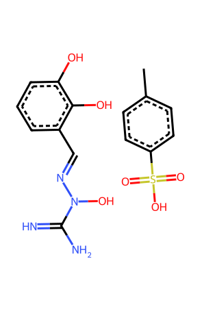 Cc1ccc(S(=O)(=O)O)cc1.N=C(N)N(O)N=Cc1cccc(O)c1O